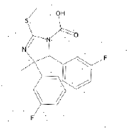 CSC1=NC(C)(c2cccc(F)c2)C(c2cccc(F)c2)N1C(=O)O